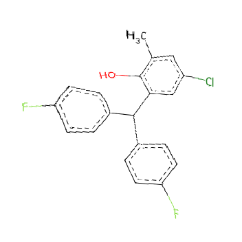 Cc1cc(Cl)cc(C(c2ccc(F)cc2)c2ccc(F)cc2)c1O